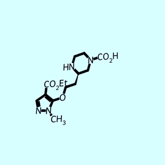 CCOC(=O)c1cnn(C)c1OCC[C@@H]1CN(C(=O)O)CCN1